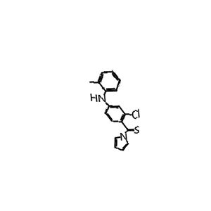 Cc1ccccc1Nc1ccc(C(=S)n2cccc2)c(Cl)c1